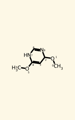 CO[C]1C=C(OC)NC=N1